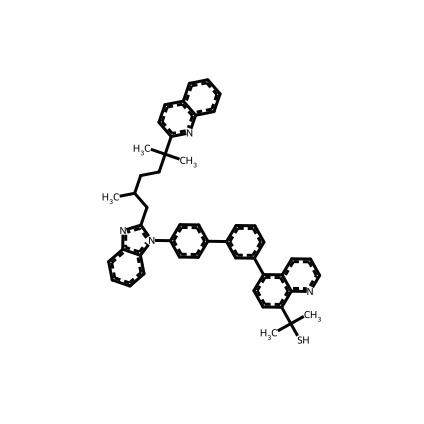 CC(CCC(C)(C)c1ccc2ccccc2n1)Cc1nc2ccccc2n1-c1ccc(-c2cccc(-c3ccc(C(C)(C)S)c4ncccc34)c2)cc1